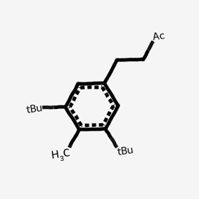 CC(=O)CCc1cc(C(C)(C)C)c(C)c(C(C)(C)C)c1